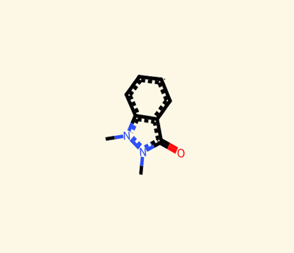 Cn1c(=O)c2c[c]ccc2n1C